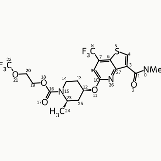 CNC(=O)c1csc2c(C(F)(F)F)cc(O[C@@H]3CCN(C(=O)OCCOC(F)(F)F)[C@H](C)C3)nc12